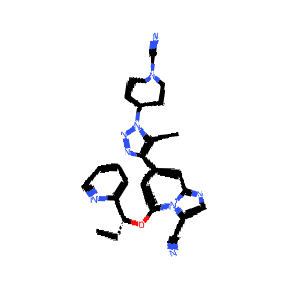 CC[C@@H](Oc1cc(-c2nnn(C3CCN(C#N)CC3)c2C)cc2ncc(C#N)n12)c1ccccn1